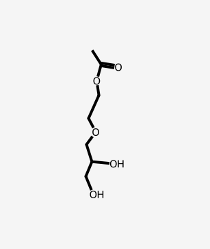 CC(=O)OCCOCC(O)CO